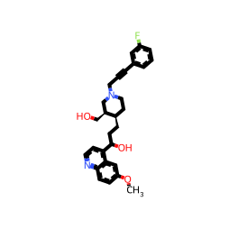 COc1ccc2nccc(C(O)CC[C@@H]3CCN(CC#Cc4cccc(F)c4)C[C@@H]3CO)c2c1